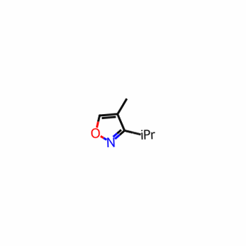 Cc1conc1C(C)C